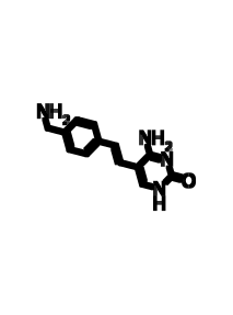 NCc1ccc(C=Cc2c[nH]c(=O)nc2N)cc1